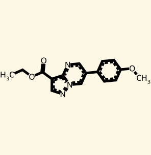 CCOC(=O)c1cnn2cc(-c3ccc(OC)cc3)cnc12